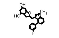 Cn1cc(C=C2Cc3c(O)cc(O)cc3O2)c2c(-c3cccc(F)c3)cccc21